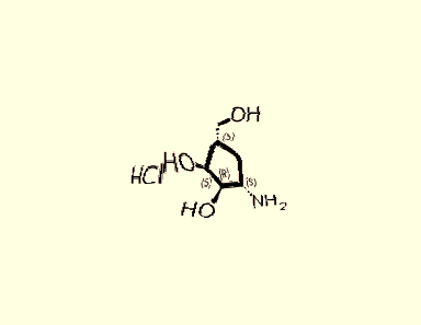 Cl.N[C@H]1C[C@@H](CO)[C@H](O)[C@@H]1O